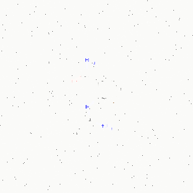 C=C(N)Nc1sccc1C(N)=O